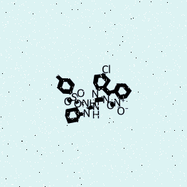 Cc1ccc(S(=O)(=O)ONC(=Nc2ccccc2)Nc2nc(-c3ccccc3[N+](=O)[O-])c3cc(Cl)ccc3n2)cc1